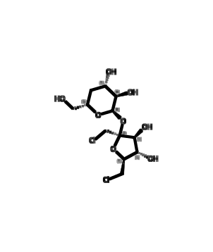 OC[C@@H]1C[C@H](O)[C@@H](O)[C@@H](O[C@]2(CCl)O[C@H](CCl)[C@@H](O)[C@@H]2O)O1